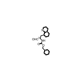 O=C[C@H](Cc1cccc2cccnc12)NC(=O)OCc1ccccc1